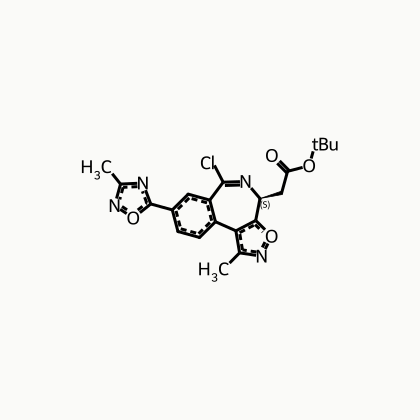 Cc1noc(-c2ccc3c(c2)C(Cl)=N[C@@H](CC(=O)OC(C)(C)C)c2onc(C)c2-3)n1